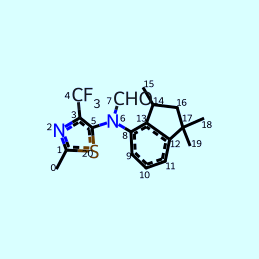 Cc1nc(C(F)(F)F)c(N(C=O)c2cccc3c2C(C)CC3(C)C)s1